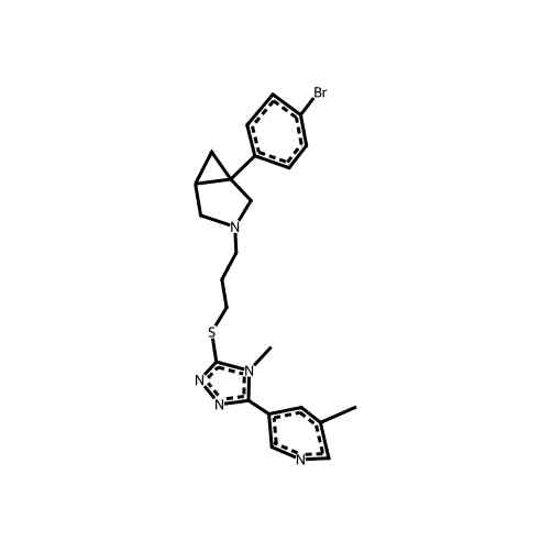 Cc1cncc(-c2nnc(SCCCN3CC4CC4(c4ccc(Br)cc4)C3)n2C)c1